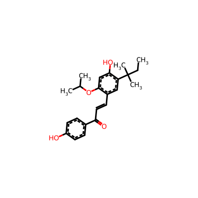 CCC(C)(C)c1cc(C=CC(=O)c2ccc(O)cc2)c(OC(C)C)cc1O